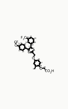 Cc1cc(OCc2nc(-c3ccc(OC(F)(F)F)cc3)c(-c3cccc(C(F)(F)F)c3)s2)ccc1OCC(=O)O